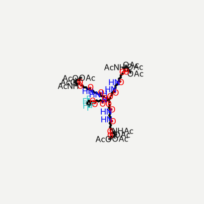 CC(=O)NC1C(OC(C)=O)[C@@H](OC(C)=O)C(COC(C)=O)O[C@H]1OCCCCC(=O)NCCCNC(=O)CCOCC(CNC(=O)CCCC(=O)Oc1c(F)c(F)c(F)c(F)c1F)(COCCC(=O)NCCCNC(=O)CCCCO[C@@H]1OC(COC(C)=O)[C@H](OC(C)=O)C(OC(C)=O)C1NC(C)=O)COCCC(=O)NCCCNC(=O)CCCCO[C@@H]1OC(COC(C)=O)[C@H](OC(C)=O)C(OC(C)=O)C1NC(C)=O